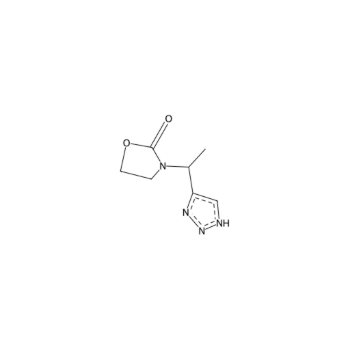 CC(c1c[nH]nn1)N1CCOC1=O